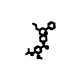 CCCC1CC(c2ccccc2)OC2(CCN(C(=O)c3ccc(OC(C)C)c(OC)c3)CC2)C1